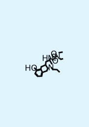 CCCN1CC(NS(=O)(=O)N(CC)CC)CC2Cc3c(O)cccc3CC21